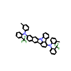 Cc1cccc(N(c2ccc3cc4c5ccc(N(c6cccc(C)c6)c6ccccc6C(F)(F)F)c6c7ccccc7n(c4cc3c2)c56)c2ccccc2C(F)(F)F)c1